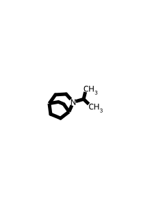 CC(C)N1CCC2CCC1CC2